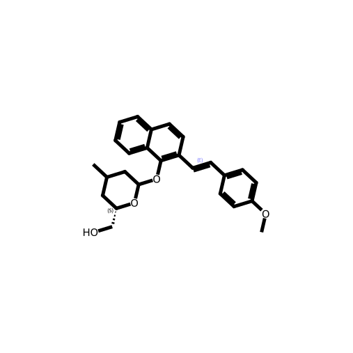 COc1ccc(/C=C/c2ccc3ccccc3c2OC2CC(C)C[C@@H](CO)O2)cc1